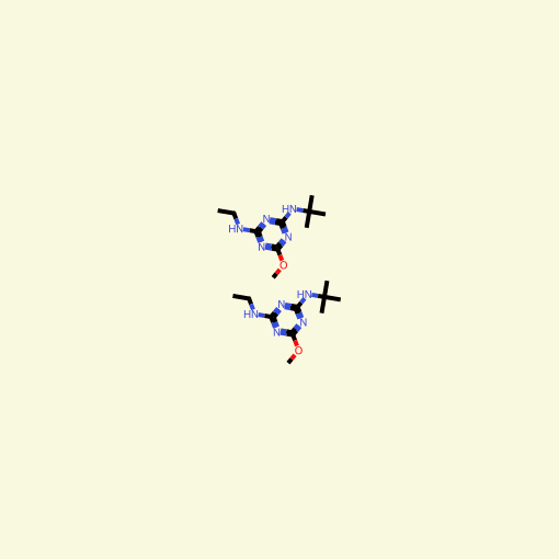 CCNc1nc(NC(C)(C)C)nc(OC)n1.CCNc1nc(NC(C)(C)C)nc(OC)n1